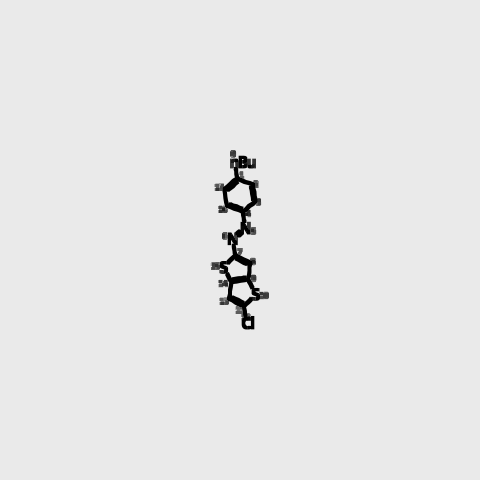 CCCCc1ccc(N=Nc2cc3sc(Cl)cc3s2)cc1